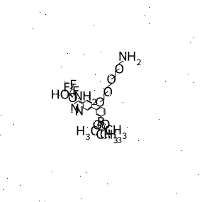 CC1(C)OB(c2ccc(OCCOCCOCCOCCN)c(-c3ccc4c(N)cnnc4c3)c2)OC1(C)C.O=C(O)C(F)(F)F